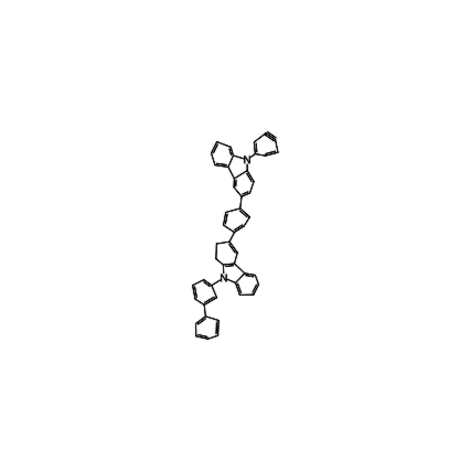 c1ccc(-n2c3ccccc3c3cc(-c4ccc(C5=Cc6c(n(-c7cccc(-c8ccccc8)c7)c7ccccc67)CC5)cc4)ccc32)cc#1